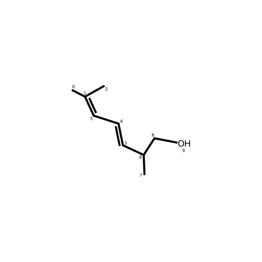 CC(C)=C/C=C/C(C)CO